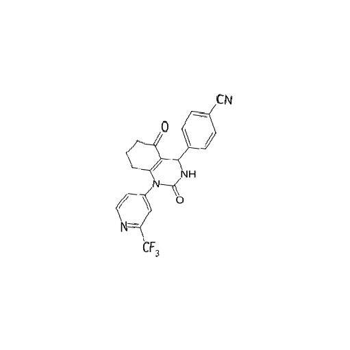 N#Cc1ccc(C2NC(=O)N(c3ccnc(C(F)(F)F)c3)C3=C2C(=O)CCC3)cc1